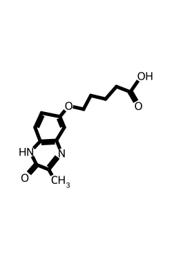 Cc1nc2cc(OCCCCC(=O)O)ccc2[nH]c1=O